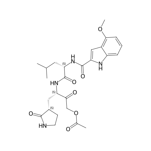 COc1cccc2[nH]c(C(=O)N[C@@H](CC(C)C)C(=O)N[C@@H](C[C@@H]3CCNC3=O)C(=O)COC(C)=O)cc12